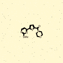 CSc1nccc(-c2ccc(C(=O)N3CCOCC3)s2)n1